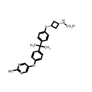 CC(C)(c1ccc(Oc2cnc(C#N)nc2)cc1)c1ccc(O[C@H]2C[C@@H](NC(=O)O)C2)cc1